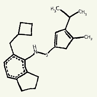 CC1=C(C(C)C)C=C(SNc2c(CC3CCC3)ccc3c2CCC3)C1